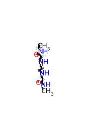 CCNC(=O)CCNCCCNCCC(=O)NCC